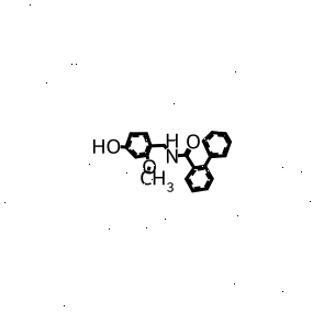 COc1cc(O)ccc1CNC(=O)c1ccccc1-c1ccccc1